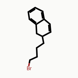 BrCCCCC1C=Cc2ccccc2C1